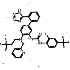 O=C(Nc1ccc(C(F)(F)F)cc1F)Nc1cc(-c2ccccc2-c2nnn[nH]2)ccc1N(CCC(F)(F)F)Cc1ccccn1